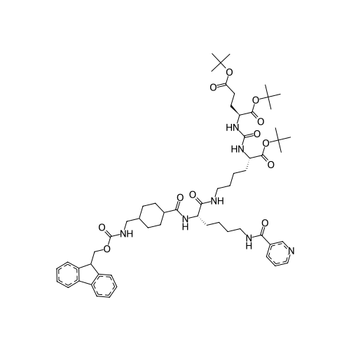 CC(C)(C)OC(=O)CC[C@H](NC(=O)N[C@@H](CCCCNC(=O)[C@H](CCCCNC(=O)c1cccnc1)NC(=O)C1CCC(CNC(=O)OCC2c3ccccc3-c3ccccc32)CC1)C(=O)OC(C)(C)C)C(=O)OC(C)(C)C